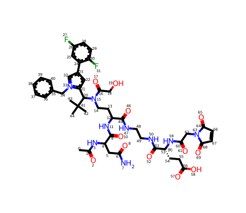 CC(=O)NC(CC(N)=O)C(=O)NC(CCN(C(=O)CO)C(c1cc(-c2cc(F)ccc2F)cn1Cc1ccccc1)C(C)(C)C)C(=O)NCCNC(=O)[C@@H](CCC(=O)O)NC(=O)CN1C(=O)C=CC1=O